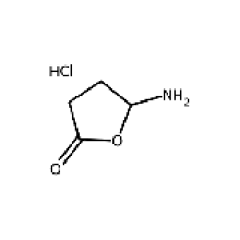 Cl.NC1CCC(=O)O1